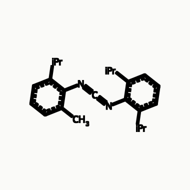 Cc1cccc(C(C)C)c1N=C=Nc1c(C(C)C)cccc1C(C)C